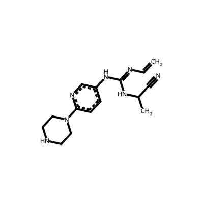 C=C/N=C(/Nc1ccc(N2CCNCC2)nc1)NC(C)C#N